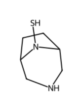 SN1C2CCC1CNC2